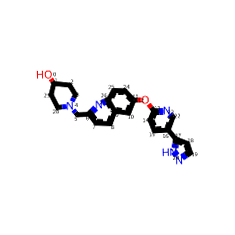 OC1CCN(Cc2ccc3cc(Oc4ccc(-c5ccn[nH]5)cn4)ccc3n2)CC1